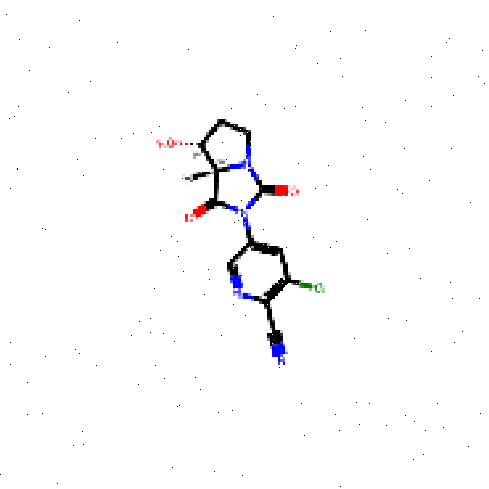 N#Cc1ncc(N2C(=O)[C@@H]3[C@H](O)CCN3C2=O)cc1Cl